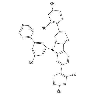 N#Cc1cc(-c2ccncc2)cc(-n2c3cc(-c4ccc(C#N)cc4C#N)ccc3c3ccc(-c4ccc(C#N)cc4C#N)cc32)c1